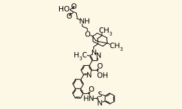 Cc1c(-c2ccc(-c3ccc4cccc(C(=O)Nc5nc6ccccc6s5)c4c3)nc2C(=O)O)cnn1CC12CC3(C)CC(C)(C1)CC(OCCNCCS(=O)(=O)O)(C3)C2